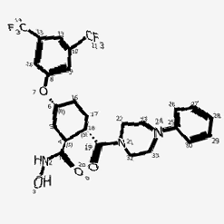 O=C(NO)[C@H]1C[C@H](Oc2cc(C(F)(F)F)cc(C(F)(F)F)c2)CC[C@@H]1C(=O)N1CCN(c2ccccc2)CC1